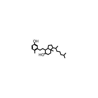 Cc1ccc(O)cc1CCC1C2CCC(C(C)CCCC(C)C)C2(C)CC[C@H]1O